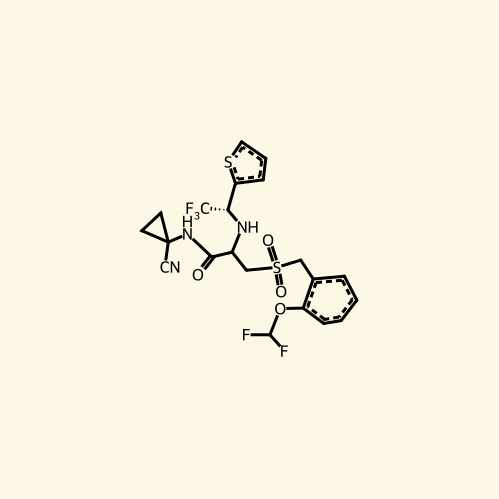 N#CC1(NC(=O)C(CS(=O)(=O)Cc2ccccc2OC(F)F)N[C@@H](c2cccs2)C(F)(F)F)CC1